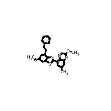 COc1cc(CCc2ccccc2)c2nc(-c3cc(C)cc4nc(OC)cnc34)sc2c1